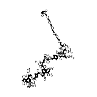 Cc1c[nH]c2c(OC(=O)N(C)CCN(C)C(=O)OCc3ccc(N(C(N)=O)C(=O)[C@H](CCCN)NC(=O)[C@@H](NC(=O)CCOCCOCCOCCOCCOCCOCCN4C(=O)C=CC4=O)C(C)C)cc3)cc3c(c12)[C@H](CCl)CN3C(=O)C12CC(C(=O)N3C[C@@H](CCl)c4c3cc(OP(=O)(O)O)c3[nH]cc(C)c43)(C1)C2